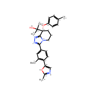 COc1cc(-c2nnc3n2CCC[C@]3(Oc2ccc(C(F)(F)F)cc2)C(C)(C)O)ccc1-c1cnc(C)o1